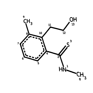 CNC(=S)c1cccc(C)c1CCO